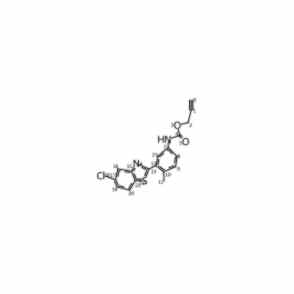 C#CCOC(=O)Nc1ccc(C)c(-c2nc3cc(Cl)ccc3s2)c1